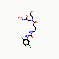 CC(C)CCN(CC(=O)NO)C(=O)C[C@H](C)CNC(=O)Nc1cc(F)ccc1F